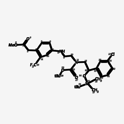 COC(=O)Cc1ccc(NCCN(CC(O[Si](C)(C)C(C)(C)C)c2cccc(Cl)c2)C(=O)OC(C)(C)C)cc1C(F)(F)F